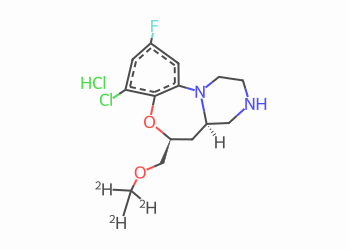 Cl.[2H]C([2H])([2H])OC[C@@H]1C[C@@H]2CNCCN2c2cc(F)cc(Cl)c2O1